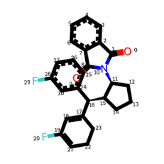 O=C1c2ccccc2C(=O)N1[C@H]1CCCC1[C@@H](C1=CC(F)=CCC1)c1cccc(F)c1